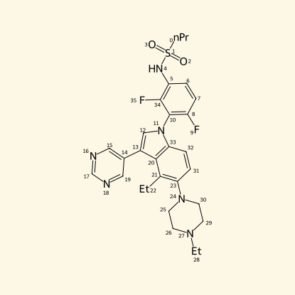 CCCS(=O)(=O)Nc1ccc(F)c(-n2cc(-c3cncnc3)c3c(CC)c(N4CCN(CC)CC4)ccc32)c1F